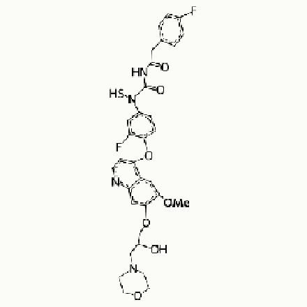 COc1cc2c(Oc3ccc(N(S)C(=O)NC(=O)Cc4ccc(F)cc4)cc3F)ccnc2cc1OCC(O)CN1CCOCC1